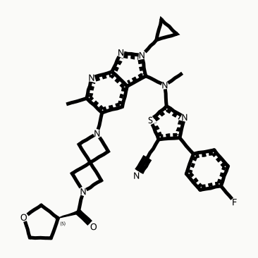 Cc1nc2nn(C3CC3)c(N(C)c3nc(-c4ccc(F)cc4)c(C#N)s3)c2cc1N1CC2(CN(C(=O)[C@H]3CCOC3)C2)C1